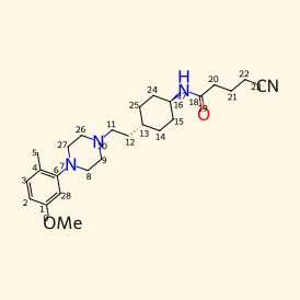 COc1ccc(C)c(N2CCN(CC[C@H]3CC[C@H](NC(=O)CCCC#N)CC3)CC2)c1